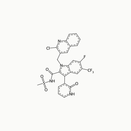 CS(=O)(=O)NC(=O)c1c(-c2ccc[nH]c2=O)c2cc(C(F)(F)F)c(F)cc2n1Cc1cc2ccccc2nc1Cl